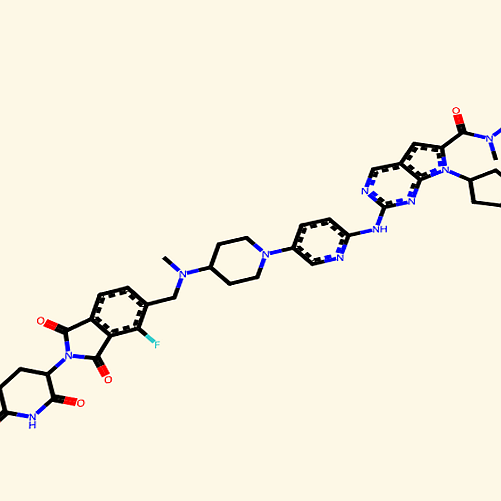 CN(C)C(=O)c1cc2cnc(Nc3ccc(N4CCC(N(C)Cc5ccc6c(c5F)C(=O)N(C5CCC(=O)NC5=O)C6=O)CC4)cn3)nc2n1C1CCCC1